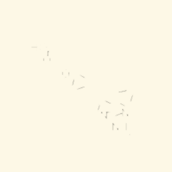 CCC(CCCOc1ccc(CCc2cnc3c(N)nc4cc(C)ccc4c3c2)c(C)c1)C(=O)O